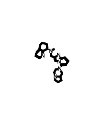 CN(Cc1cn2c(N3CCN4CCCC4C3)cccc2n1)[C@H]1CCCc2cccnc21